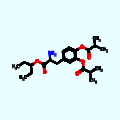 CCC(CC)OC(=O)C(N)Cc1ccc(OC(=O)C(C)C)c(OC(=O)C(C)C)c1